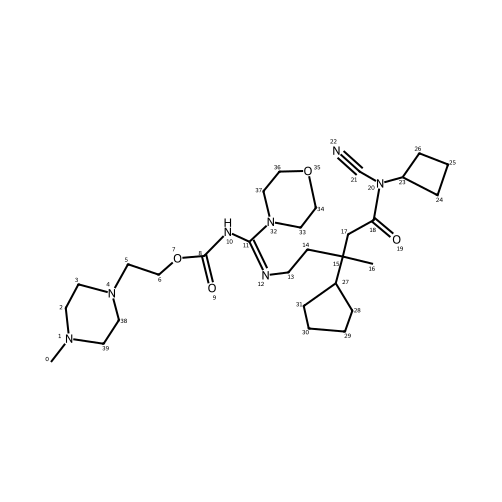 CN1CCN(CCOC(=O)NC(=NCCC(C)(CC(=O)N(C#N)C2CCC2)C2CCCC2)N2CCOCC2)CC1